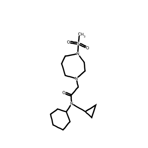 CS(=O)(=O)N1CCCN(CC(=O)N(C2CCCCC2)C2CC2)CC1